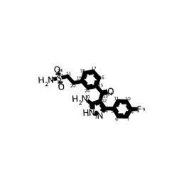 Nc1[nH]nc(-c2ccc(F)cc2)c1C(=O)c1cccc(CCS(N)(=O)=O)c1